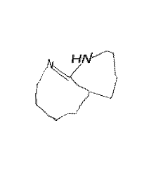 C1CCC2CCCNC2=NC1